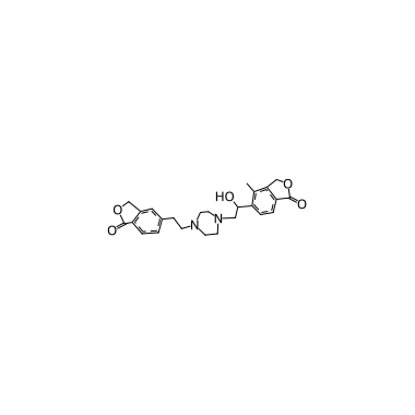 Cc1c(C(O)CN2CCN(CCc3ccc4c(c3)COC4=O)CC2)ccc2c1COC2=O